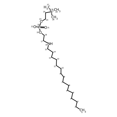 CCCCCCCCCCCCCCCCNCCOP(=O)([O-])OCC[N+](C)(C)C